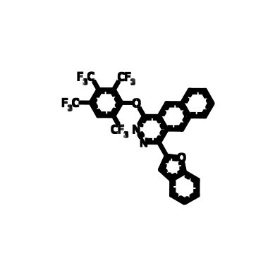 FC(F)(F)c1cc(C(F)(F)F)c(C(F)(F)F)c(C(F)(F)F)c1Oc1nnc(-c2cc3ccccc3o2)c2cc3ccccc3cc12